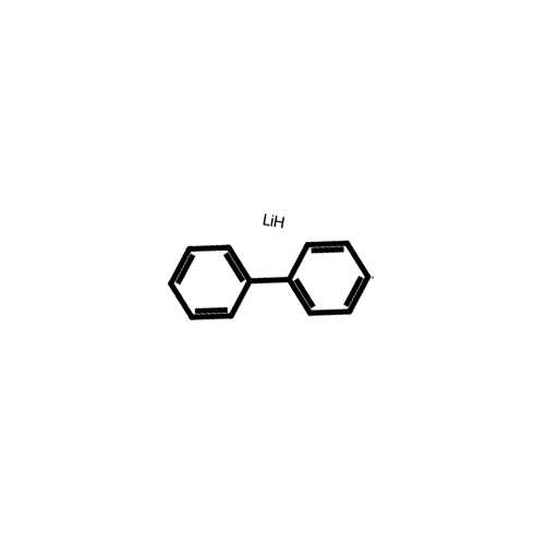 [LiH].[c]1ccc(-c2ccccc2)cc1